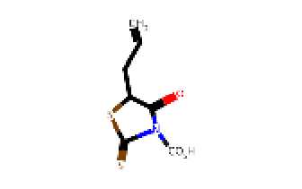 C=CCC1SC(=S)N(C(=O)O)C1=O